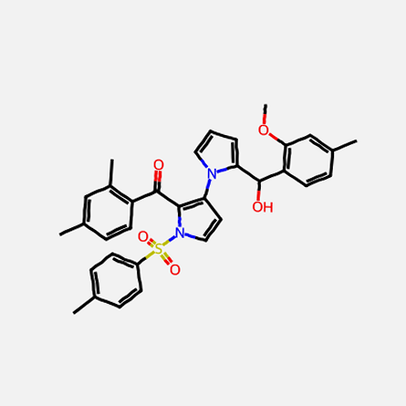 COc1cc(C)ccc1C(O)c1cccn1-c1ccn(S(=O)(=O)c2ccc(C)cc2)c1C(=O)c1ccc(C)cc1C